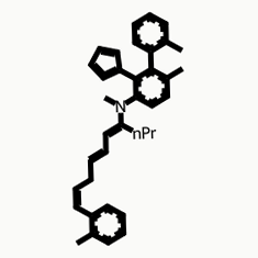 CCC/C(=C\C=C\C/C=C\c1ccccc1C)N(C)c1ccc(C)c(-c2ccccc2C)c1C1=C=CC=C1